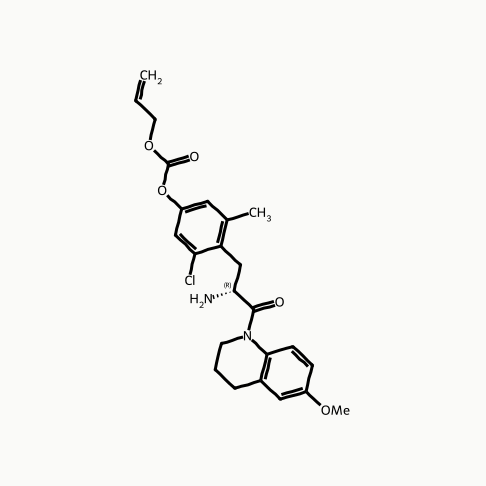 C=CCOC(=O)Oc1cc(C)c(C[C@@H](N)C(=O)N2CCCc3cc(OC)ccc32)c(Cl)c1